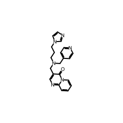 O=c1c(CN(CCCn2ccnc2)Cc2ccncc2)cnc2ccccn12